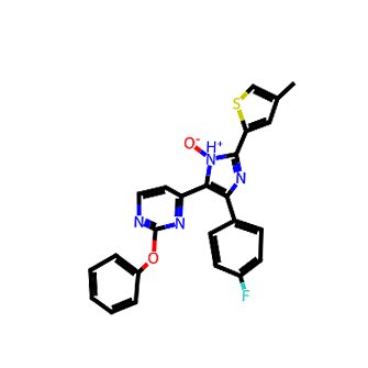 Cc1csc(C2=NC(c3ccc(F)cc3)=C(c3ccnc(Oc4ccccc4)n3)[NH+]2[O-])c1